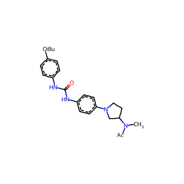 CC(=O)N(C)C1CCN(c2ccc(NC(=O)Nc3ccc(OCC(C)C)cc3)cc2)C1